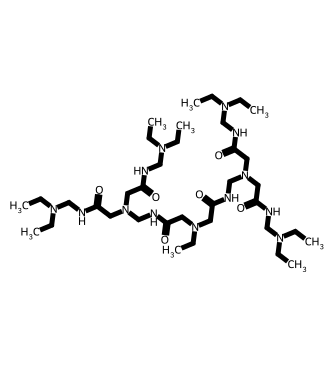 CCN(CC)CNC(=O)CN(CNC(=O)CN(CC)CC(=O)NCN(CC(=O)NCN(CC)CC)CC(=O)NCN(CC)CC)CC(=O)NCN(CC)CC